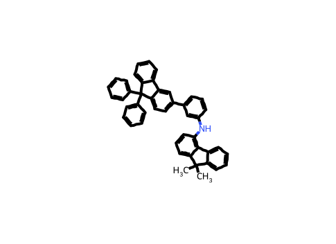 CC1(C)c2ccccc2-c2c(Nc3cccc(-c4ccc5c(c4)-c4ccccc4C5(c4ccccc4)c4ccccc4)c3)cccc21